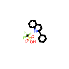 O=S(=O)(O)C(F)(F)F.c1ccc(-c2ccc3ccccc3n2)cc1